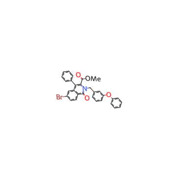 COC(=O)c1c(-c2ccccc2)c2cc(Br)ccc2c(=O)n1Cc1cccc(Oc2ccccc2)c1